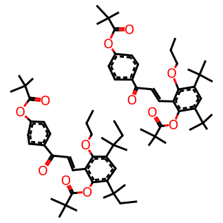 CCCOc1c(C(C)(C)C)cc(C(C)(C)C)c(OC(=O)C(C)(C)C)c1C=CC(=O)c1ccc(OC(=O)C(C)(C)C)cc1.CCCOc1c(C(C)(C)CC)cc(C(C)(C)CC)c(OC(=O)C(C)(C)C)c1C=CC(=O)c1ccc(OC(=O)C(C)(C)C)cc1